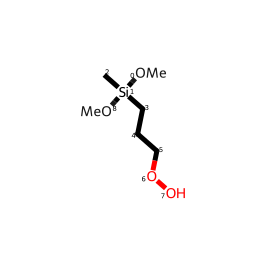 CO[Si](C)(CCCOO)OC